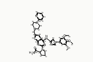 COc1cc(-n2cnc(Nc3nc(N4CCCC4C(N)=O)nc4sc(CN5CCN(c6ccccn6)CC5)cc34)c2)cc(OC)c1OC